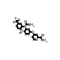 COc1ccc(C(F)(F)F)cc1N(C(N)=O)c1cccc(Oc2ccnc(C(N)=O)c2)c1